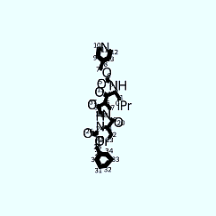 CC(C)CC(NC(=O)OCc1ccncc1)C(=O)C1CN(C(=O)C(CC(C)C)NC(=O)OCc2ccccc2)CC1=O